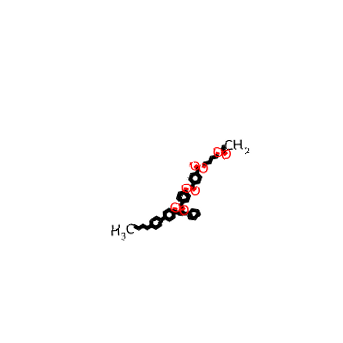 C=CC(=O)OCCCCOC(=O)C1CCC(C(=O)Oc2ccc(C(=O)OC3(C#Cc4ccccc4)CCC(C4CCC(CCCCC)CC4)CC3)cc2)CC1